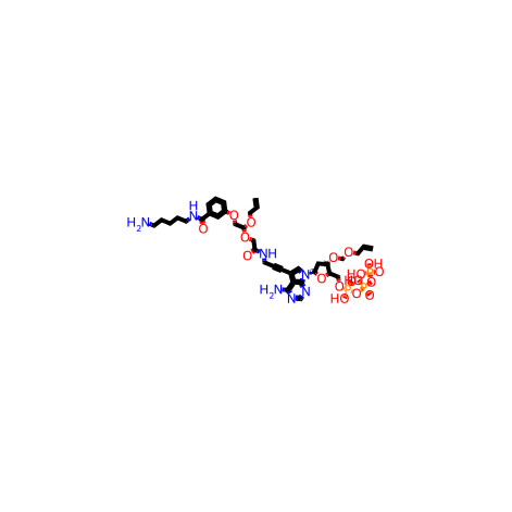 C=CCOCO[C@@H]1C[C@H](n2cc(C#CCNC(=O)COC(COc3cccc(C(=O)NCCCCCN)c3)OCC=C)c3c(N)ncnc32)OC1COP(=O)(O)OP(=O)(O)OP(=O)(O)O